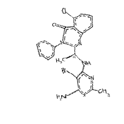 Cc1nc(N)c(Br)c(N[C@@H](C)c2nc3cccc(Cl)c3c(=O)n2-c2ccccc2)n1